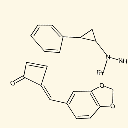 CC(C)N(N)C1CC1c1ccccc1.O=C1C=CC1=Cc1ccc2c(c1)OCO2